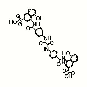 O=C(Nc1ccc(C(=O)Nc2cc(S(=O)(=O)O)cc3cccc(O)c23)cc1)C(=O)Nc1ccc(C(=O)Nc2cc(S(=O)(=O)O)cc3cccc(O)c23)cc1